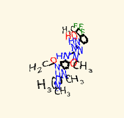 C=CC(=O)Nc1cc(Nc2ncnc(Nc3ccccc3C(C)(O)C(F)(F)F)n2)c(OC)cc1N(C)CCN(C)C